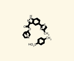 Cc1ccc(S(=O)(=O)O)cc1.Cc1csc(-c2ccc3[nH]nc(C(=O)OC4CN5CCC4CC5)c3c2)n1